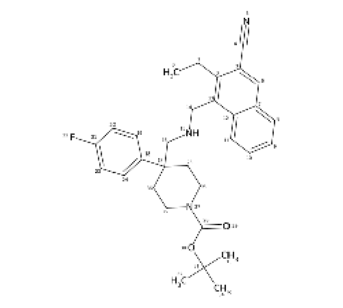 CCc1c(C#N)cc2ccccc2c1CNCC1(c2ccc(F)cc2)CCN(C(=O)OC(C)(C)C)CC1